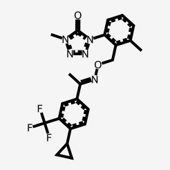 CC(=NOCc1c(C)cccc1-n1nnn(C)c1=O)c1ccc(C2CC2)c(C(F)(F)F)c1